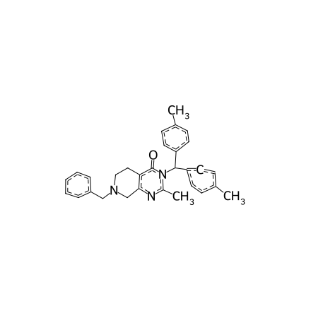 Cc1ccc(C(c2ccc(C)cc2)n2c(C)nc3c(c2=O)CCN(Cc2ccccc2)C3)cc1